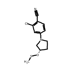 CSO[C@H]1CCN(c2ccc(C#N)c(Cl)c2)C1